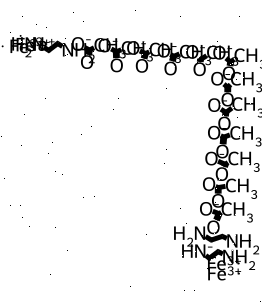 CC(=O)[O-].CC(=O)[O-].CC(=O)[O-].CC(=O)[O-].CC(=O)[O-].CC(=O)[O-].CC(=O)[O-].CC(=O)[O-].CC(=O)[O-].CC(=O)[O-].CC(=O)[O-].CC(=O)[O-].NCCN.NCCN.[Fe+3].[Fe+3].[Fe+3].[Fe+3].[NH-]CCN.[Na+]